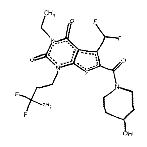 CCn1c(=O)c2c(C(F)F)c(C(=O)N3CCC(O)CC3)sc2n(CCC(F)(F)P)c1=O